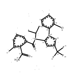 CC(C)N(C(=O)c1cccc(I)c1C(N)=O)c1cc(C(F)(F)F)nn1-c1ccccc1Cl